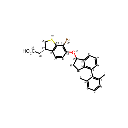 Cc1cccc(C)c1-c1cccc2c1CCC2Oc1ccc2c(c1Br)SC[C@H]2CC(=O)O